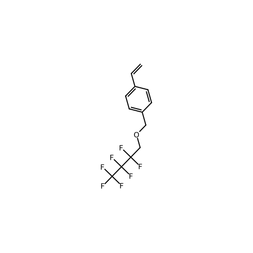 C=Cc1ccc(COCC(F)(F)C(F)(F)C(F)(F)F)cc1